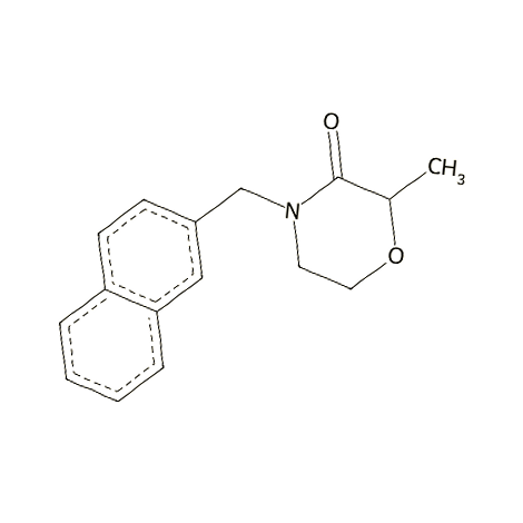 CC1OCCN(Cc2ccc3ccccc3c2)C1=O